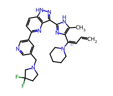 C=C/C=C(\c1nc(-c2n[nH]c3ccc(-c4cncc(CN5CCC(F)(F)C5)c4)nc23)[nH]c1C)N1CCCCC1